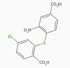 CCOC(=O)c1ccc(Sc2cc(Cl)ccc2C(=O)O)c([N+](=O)[O-])c1